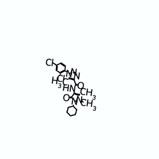 Cc1c(C(=O)Nc2c(C)n(C)n(C3CCCCC3)c2=O)nnn1-c1ccc(Cl)cc1Cl